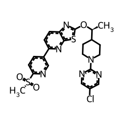 C[C@H](Oc1nc2ccc(-c3ccc(S(C)(=O)=O)nc3)nc2s1)C1CCN(c2ncc(Cl)cn2)CC1